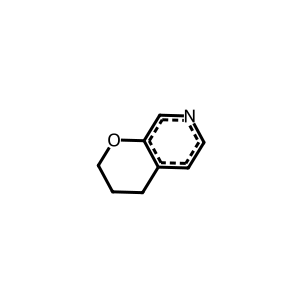 c1cc2c(cn1)OCCC2